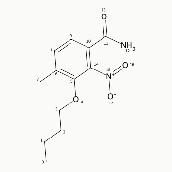 CCCCOc1c(C)ccc(C(N)=O)c1[N+](=O)[O-]